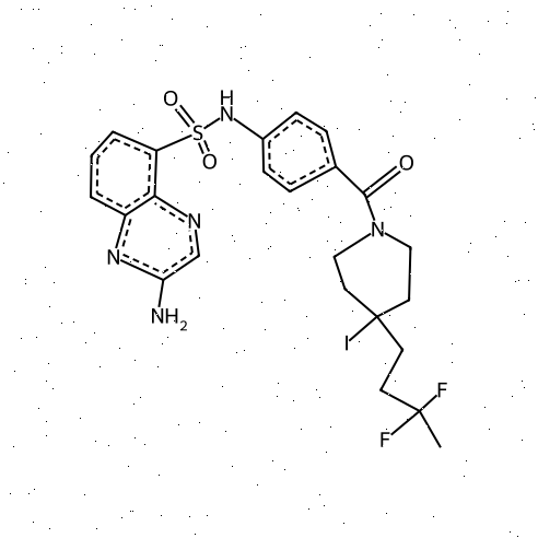 CC(F)(F)CCC1(I)CCN(C(=O)c2ccc(NS(=O)(=O)c3cccc4nc(N)cnc34)cc2)CC1